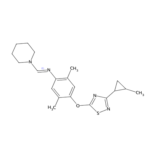 Cc1cc(Oc2nc(C3CC3C)ns2)c(C)cc1/N=C/N1CCCCC1